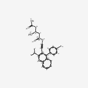 CC(C)c1nc2ccccc2c(-c2ccc(F)cc2)c1C#CO[PH](=O)C[C@@H](O)CC(=O)O